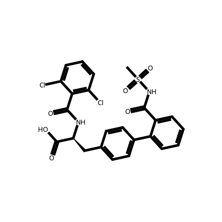 CS(=O)(=O)NC(=O)c1ccccc1-c1ccc(C[C@H](NC(=O)c2c(Cl)cccc2Cl)C(=O)O)cc1